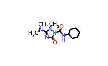 CN(C)c1nc(=O)n(C(=O)NC2CCCCC2)n1C